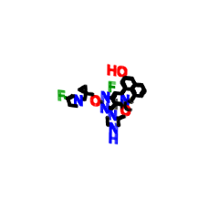 C#Cc1cccc2cc(O)cc(-c3nc4c5c(nc(OCC6(CN7CCC(F)C7)CC6)nc5c3F)N3CCNCC3CO4)c12